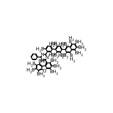 Bc1cc(B)c(-c2c(B)c(B)c(-c3c(B)c(B)c4c(B)c(B)c(B)c(B)c4c3B)c(B)c2B)c(B)c1-c1nc(-c2ccccc2)nc(-c2c(B)c(B)c(B)c3oc4c(B)c(B)c(B)c(B)c4c23)n1